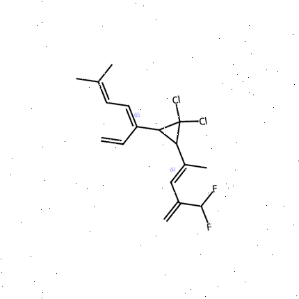 C=C/C(=C\C=C(C)C)C1C(/C(C)=C/C(=C)C(F)F)C1(Cl)Cl